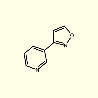 [c]1ncccc1-c1ccon1